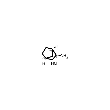 Cl.N[C@@H]1C[C@H]2CC[C@@H]1C2